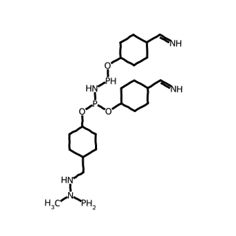 CN(P)NCC1CCC(OP(NPOC2CCC(C=N)CC2)OC2CCC(C=N)CC2)CC1